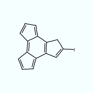 IC1=Cc2c(c3c(c4c2=CC=C4)C=CC=3)C1